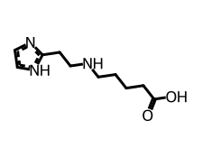 O=C(O)CCCCNCCc1ncc[nH]1